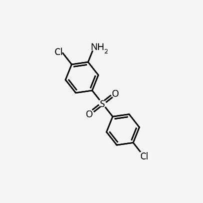 Nc1cc(S(=O)(=O)c2ccc(Cl)cc2)ccc1Cl